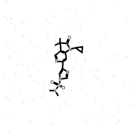 CN(C)S(=O)(=O)n1cnc(-c2cc3c(cn2)C(C)(C)C(=O)N3C2CC2)c1